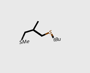 CSCC(C)CSC(C)(C)C